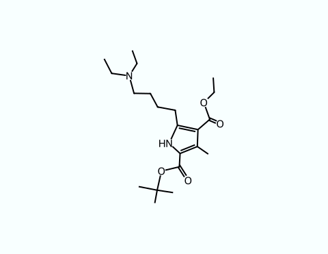 CCOC(=O)c1c(CCCCN(CC)CC)[nH]c(C(=O)OC(C)(C)C)c1C